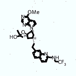 COc1ncnc2c1ccn2[C@@H]1C[C@H](CCc2ccc3ccc(NCC(F)(F)F)nc3c2)C[C@H]1OC(C)(C)O